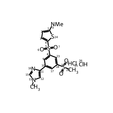 CNc1ccc(S(=O)(=O)c2cc(-c3cn(C)cn3)cc(S(C)(=O)=O)c2)s1.Cl.Cl